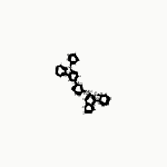 c1ccc(-n2c3ccccc3c3cc(-c4cccc(Nc5cc6ccccc6c6c5oc5ccccc56)c4)ccc32)cc1